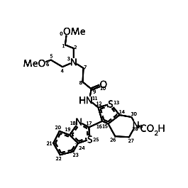 COCCN(CCOC)CCC(=O)Nc1sc2c(c1-c1nc3ccccc3s1)CCN(C(=O)O)C2